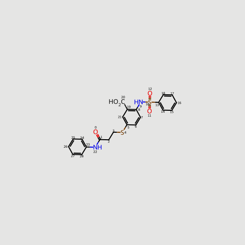 O=C(CCSc1ccc(NS(=O)(=O)c2ccccc2)c(C(=O)O)c1)Nc1ccccc1